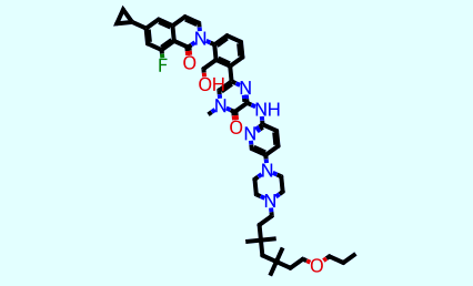 CCCOCCC(C)(C)CC(C)(C)CCN1CCN(c2ccc(Nc3nc(-c4cccc(-n5ccc6cc(C7CC7)cc(F)c6c5=O)c4CO)cn(C)c3=O)nc2)CC1